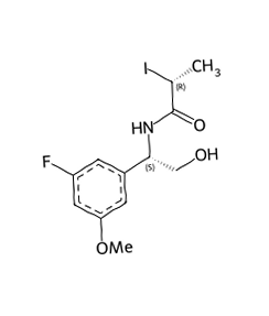 COc1cc(F)cc([C@@H](CO)NC(=O)[C@@H](C)I)c1